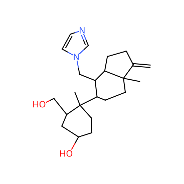 C=C1CCC2C(Cn3ccnc3)C(C3(C)CCC(O)CC3CO)CCC12C